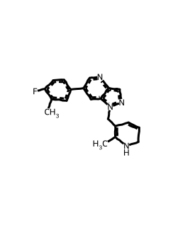 CC1=C(Cn2ncc3ncc(-c4ccc(F)c(C)c4)cc32)C=CCN1